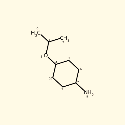 CC(C)OC1CCC(N)CC1